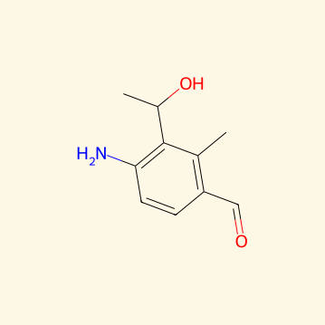 Cc1c(C=O)ccc(N)c1C(C)O